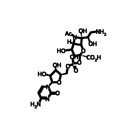 CC(=O)N1[C@@H]2C(O)C[C@@](OP(=O)(O)OC[C@H]3O[C@@H](n4ccc(N)nc4=O)[C@@H](O)[C@H]3O)(C(=O)O)OC2[C@]1(O)[C@H](O)CN